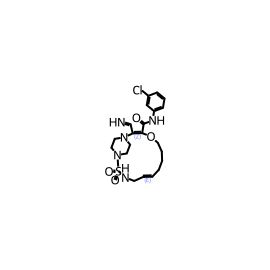 N=C/C1=C(\C(=O)Nc2cccc(Cl)c2)OCCCC/C=C/CNS(=O)(=O)N2CCN1CC2